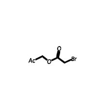 CC(=O)COC(=O)CBr